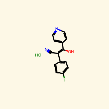 Cl.N#CC(=C(O)c1ccncc1)c1ccc(F)cc1